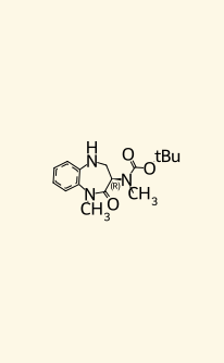 CN1C(=O)[C@H](N(C)C(=O)OC(C)(C)C)CNc2ccccc21